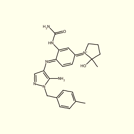 Cc1ccc(Cn2ncc(N=C3C=CC(=[N+]4CCCC4(C)O)C=C3NC(N)=O)c2N)cc1